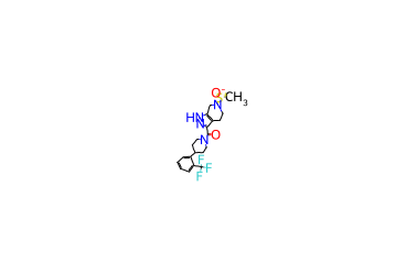 C[S+]([O-])N1CCc2c(C(=O)N3CCC(c4ccccc4C(F)(F)F)CC3)n[nH]c2C1